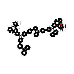 Cc1ccccc1C(C)(C)c1ccc(N(c2ccc(-c3ccc(-c4cccc5c4c4ccccc4n5-c4ccc(-c5ccc(N(c6ccc7c(c6)C6(CC8C[C@@H](C)C[C@@H]6C[C@H]8C)c6ccccc6C7(C)C)c6cccc7ccccc67)cc5)cc4)cc3)cc2)c2ccc(-c3cccc(-n4c5ccccc5c5ccccc54)c3)cc2)cc1[C@@H](C)CC1C[C@@H]2CC[C@H]1C2